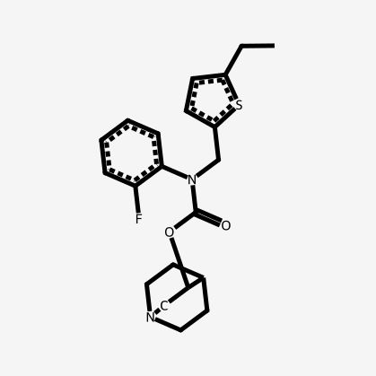 CCc1ccc(CN(C(=O)OC2CN3CCC2CC3)c2ccccc2F)s1